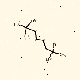 CCCC(C)(C)CC[CH]CC(C)(CC)CC